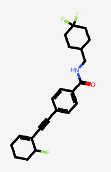 O=C(NCC1CCC(F)(F)CC1)c1ccc(C#CC2=CCCCC2F)cc1